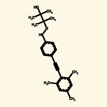 Cc1cc(C)c(C#Cc2ccc(BOC(C)(C)C(C)(C)O)cc2)c(C)c1